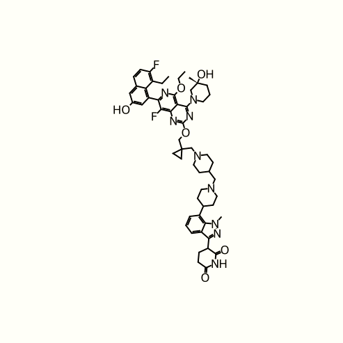 CCOc1nc(-c2cc(O)cc3ccc(F)c(CC)c23)c(F)c2nc(OCC3(CN4CCC(CN5CCC(c6cccc7c(C8CCC(=O)NC8=O)nn(C)c67)CC5)CC4)CC3)nc(N3CCC[C@@](C)(O)C3)c12